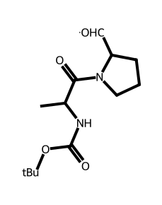 CC(NC(=O)OC(C)(C)C)C(=O)N1CCCC1[C]=O